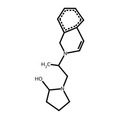 [CH2]C(CN1CCCC1O)N1C=Cc2ccccc2C1